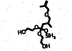 C=C(C)COCC(C)CC(O[SiH3])(OCCO)OCCO